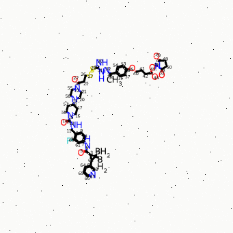 BC1(B)C(C(=O)Nc2ccc(CNC(=O)N3CCC(N4CCN(C(=O)CCSSC(=N)N/N=C(\C)c5ccc(OCCCC(=O)ON6C(=O)CCC6=O)cc5)CC4)CC3)c(F)c2)C1c1cccnc1